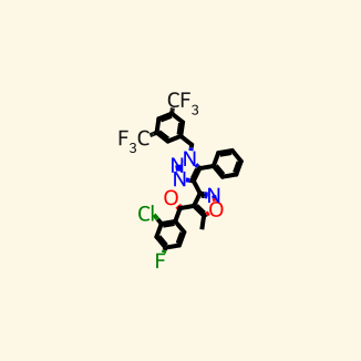 Cc1onc(-c2nnn(Cc3cc(C(F)(F)F)cc(C(F)(F)F)c3)c2-c2ccccc2)c1C(=O)c1ccc(F)cc1Cl